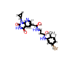 Cc1ccc(Br)cc1NC(=O)CCNC(=O)c1cnc2c(c1)c(=O)[nH]c(=O)n2C1CC1